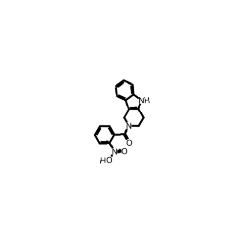 O=C(c1ccccc1[N+](=O)O)N1CCc2[nH]c3ccccc3c2C1